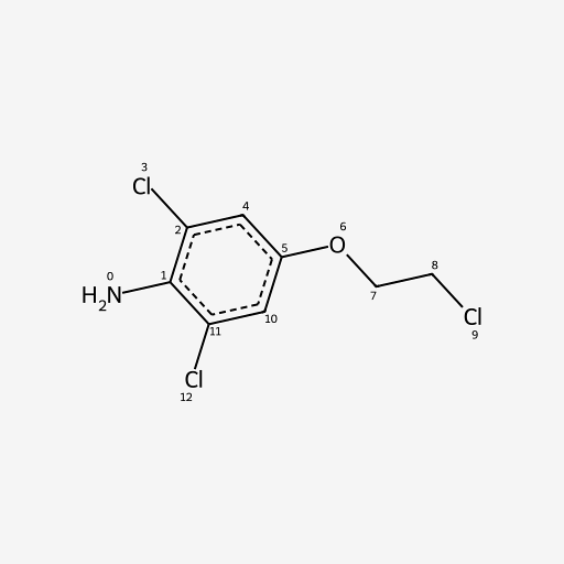 Nc1c(Cl)cc(OCCCl)cc1Cl